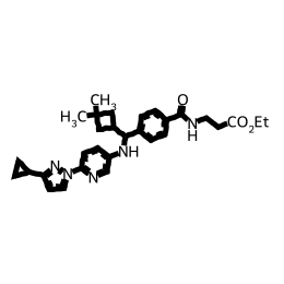 CCOC(=O)CCNC(=O)c1ccc(C(Nc2ccc(-n3ccc(C4CC4)n3)nc2)C2CC(C)(C)C2)cc1